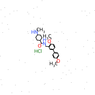 CCOc1ccc(-c2ccc(OC)cc2)cc1CNC(=O)C1CCC(NC)CC1.Cl